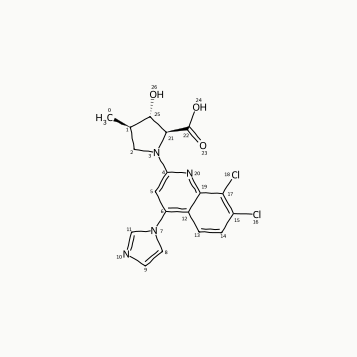 C[C@@H]1CN(c2cc(-n3ccnc3)c3ccc(Cl)c(Cl)c3n2)[C@H](C(=O)O)[C@H]1O